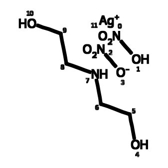 O=[N+]([O-])O.O=[N+]([O-])[O-].OCCNCCO.[Ag+]